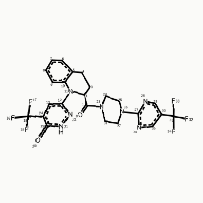 O=C([C@@H]1CCc2ccccc2N1c1cc(C(F)(F)F)c(=O)[nH]n1)N1CCN(c2ncc(C(F)(F)F)cn2)CC1